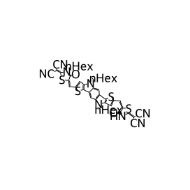 CCCCCCn1c(=C(C#N)C#N)s/c(=C/c2cc3c(s2)c2cc4c(cc2n3CCCCCC)c2sc(/C=c3/sc(=C(C#N)C#N)[nH]c3=O)cc2n4CCCCCC)c1=O